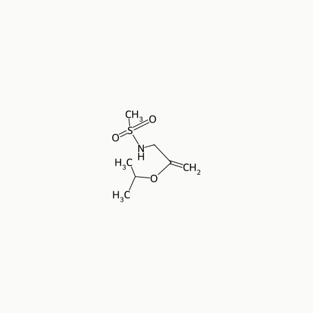 C=C(CNS(C)(=O)=O)OC(C)C